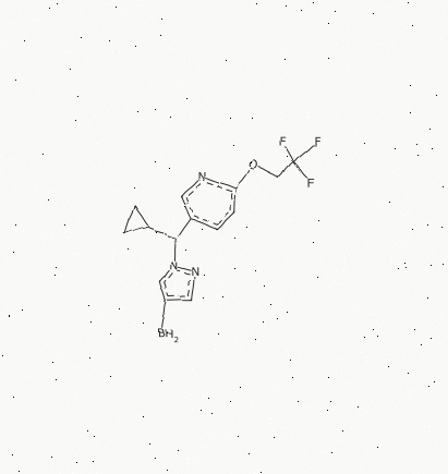 Bc1cnn(C(c2ccc(OCC(F)(F)F)nc2)C2CC2)c1